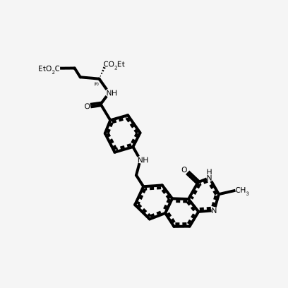 CCOC(=O)CC[C@@H](NC(=O)c1ccc(NCc2ccc3ccc4nc(C)[nH]c(=O)c4c3c2)cc1)C(=O)OCC